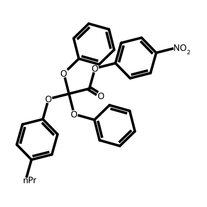 CCCc1ccc(OC(Oc2ccccc2)(Oc2ccccc2)C(=O)Oc2ccc([N+](=O)[O-])cc2)cc1